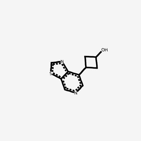 OC1CC(c2cncc3scnc23)C1